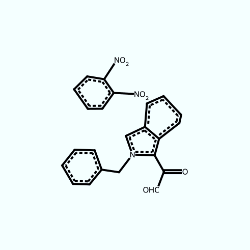 O=CC(=O)c1c2ccccc2cn1Cc1ccccc1.O=[N+]([O-])c1ccccc1[N+](=O)[O-]